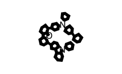 c1ccc(-c2ccc(N(c3ccccc3)c3ccc(-c4cccc5c4oc4c(-c6ccc7c(c6)c6ccccc6n7-c6ccccc6)cccc45)cc3)cc2)cc1